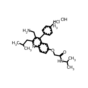 Cc1ccc(-c2c(CN)c(CC(C)C)nc3ccc(OCC(=O)NC(C)C)cc23)cc1.Cl.Cl